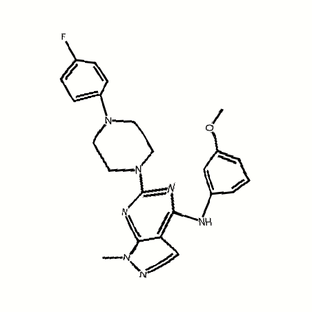 COc1cccc(Nc2nc(N3CCN(c4ccc(F)cc4)CC3)nc3c2cnn3C)c1